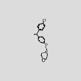 CC(c1ccc(Cl)cc1)c1ccc(OCCN2CCOCC2)cc1